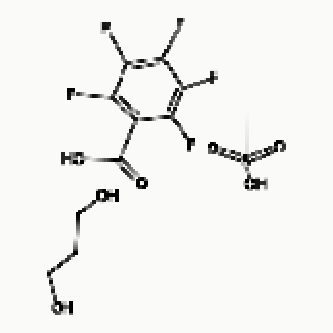 CS(=O)(=O)O.O=C(O)c1c(F)c(F)c(F)c(F)c1F.OCCCO